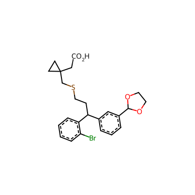 O=C(O)CC1(CSCCC(c2cccc(C3OCCO3)c2)c2ccccc2Br)CC1